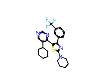 FC(F)(F)c1cccc(-c2nc(N3CCCCC3)sc2-c2n[c]ncc2C2CCCCC2)c1